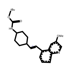 COc1cnc2cccc(/C=C/C3CCC(NC(=O)OC(C)(C)C)CC3)c2c1